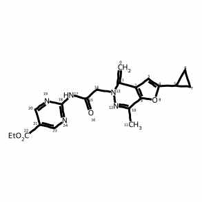 C=C1c2cc(C3CC3)oc2C(C)=NN1CC(=O)Nc1ncc(C(=O)OCC)cn1